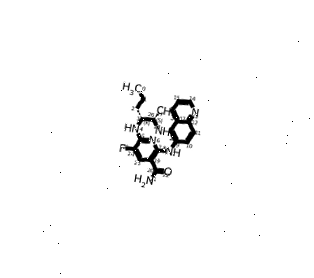 CCC[C@@H](Nc1nc(Nc2ccc3ncccc3c2)c(C(N)=O)cc1F)[C@H](C)N